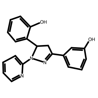 Oc1cccc(C2=NN(c3ccccn3)C(c3ccccc3O)C2)c1